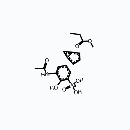 CC(=O)Nc1cccc([As](=O)(O)O)c1O.CCC(=O)OC.c1cc2cc-2c1